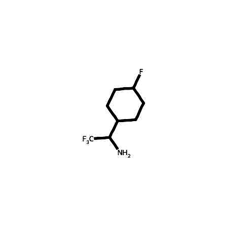 NC(C1CCC(F)CC1)C(F)(F)F